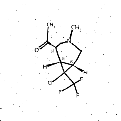 CC(=O)[C@@H]1[C@@H]2[C@H](CN1C)C2(Cl)C(F)(F)F